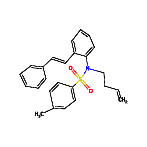 C=CCCN(c1ccccc1C=Cc1ccccc1)S(=O)(=O)c1ccc(C)cc1